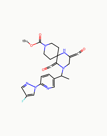 CC(c1ccc(-n2cc(F)cn2)nc1)N1CC(=C=O)NC2(CCN(C(=O)OC(C)(C)C)CC2)C1=C=O